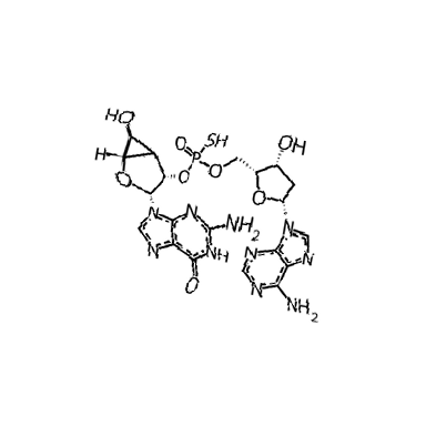 Nc1nc2c(ncn2[C@@H]2O[C@@H]3C(O)C3[C@@H]2OP(=O)(S)OC[C@H]2O[C@@H](n3cnc4c(N)ncnc43)C[C@H]2O)c(=O)[nH]1